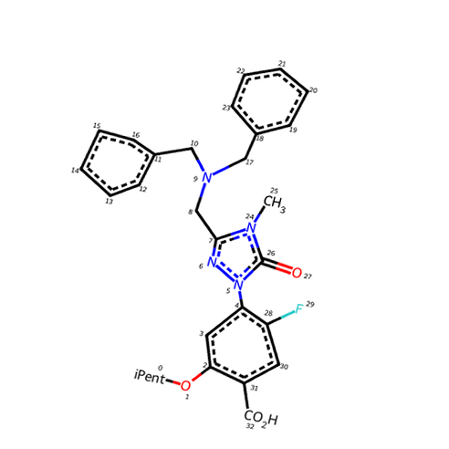 CCCC(C)Oc1cc(-n2nc(CN(Cc3ccccc3)Cc3ccccc3)n(C)c2=O)c(F)cc1C(=O)O